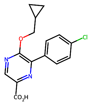 O=C(O)c1cnc(OCC2CC2)c(-c2ccc(Cl)cc2)n1